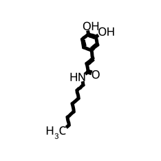 CCCCCCCCNC(=O)/C=C/c1ccc(O)c(O)c1